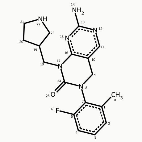 Cc1cccc(F)c1N1Cc2cnc(N)nc2N(CC2CCNC2)C1=O